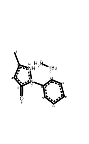 CCCCN.Cc1cc(=O)n(-c2ccccc2)[nH]1